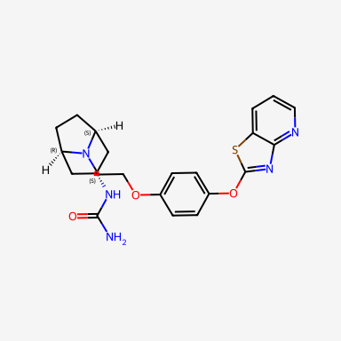 NC(=O)N[C@@H]1C[C@H]2CC[C@@H](C1)N2CCOc1ccc(Oc2nc3ncccc3s2)cc1